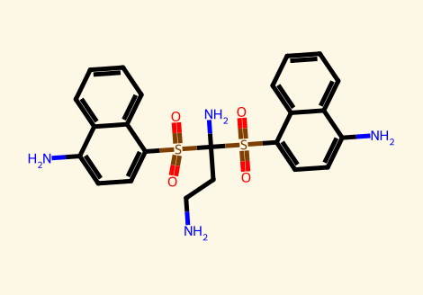 NCCC(N)(S(=O)(=O)c1ccc(N)c2ccccc12)S(=O)(=O)c1ccc(N)c2ccccc12